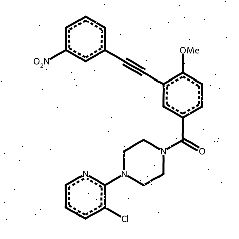 COc1ccc(C(=O)N2CCN(c3ncccc3Cl)CC2)cc1C#Cc1cccc([N+](=O)[O-])c1